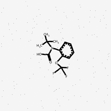 CC(C)(C)N(C(=O)O)c1ccccc1OC(F)(F)F